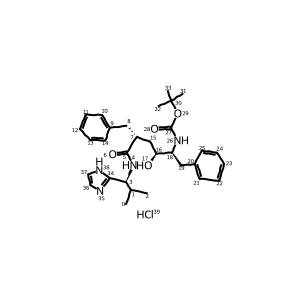 CC(C)[C@H](NC(=O)[C@H](Cc1ccccc1)C[C@H](O)[C@H](Cc1ccccc1)NC(=O)OC(C)(C)C)c1ncc[nH]1.Cl